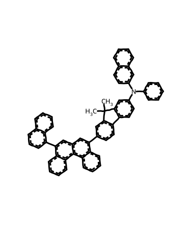 CC1(C)c2cc(-c3cc4cc(-c5cccc6ccccc56)c5ccccc5c4c4ccccc34)ccc2-c2ccc(N(c3ccccc3)c3ccc4ccccc4c3)cc21